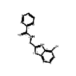 N#Cc1cccc2[nH]c(CNC(=O)c3ccccc3)nc12